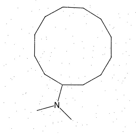 CN(C)C1CCCCCCCCCCC1